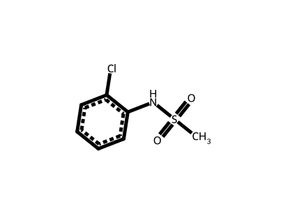 CS(=O)(=O)Nc1ccccc1Cl